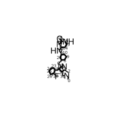 CN1Cc2nn(Cc3cccc(Nc4cc[nH]c(=O)n4)c3)c(-c3ccccc3F)c2C1